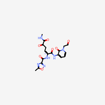 CNC(=O)C(=O)C/C=C(/NC(=O)c1noc(C)n1)C(=O)Nc1cccn(CC=O)c1=O